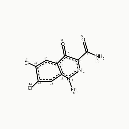 CCn1nc(C(N)=O)c(=O)c2cc(Cl)c(Cl)cc21